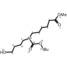 COC(=O)CCCCCN(CCCCO)C(=O)OC(C)(C)C